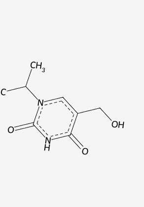 CC(C)n1cc(CO)c(=O)[nH]c1=O